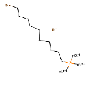 CCCCCCCC[P+](CCCCCCCC)(CCCCCCCC)CCCCCCCCCCBr.[Br-]